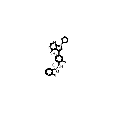 Nc1ncnc2c1c(-c1ccc(NS(=O)(=O)c3ccccc3I)c(F)c1)cn2C1CCCC1